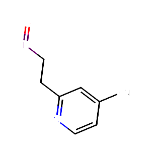 N#Cc1ccnc(CCP=O)c1